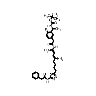 CC(NC(=O)OC(C)(C)C)c1cc(CC(=O)N/C(N)=C/C=C(\N)CCCCc2nnc(NC(=O)Cc3ccccc3)s2)ccc1F